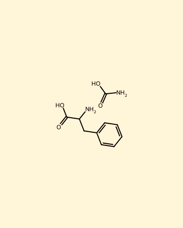 NC(=O)O.NC(Cc1ccccc1)C(=O)O